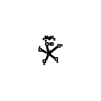 O=[CH][Ti]([Cl])([Cl])([Cl])[Cl].[MgH2]